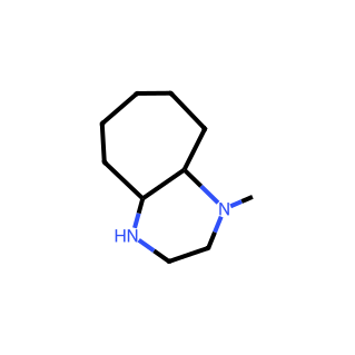 CN1CCNC2CCCCCC21